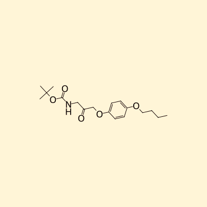 CCCCOc1ccc(OCC(=O)CNC(=O)OC(C)(C)C)cc1